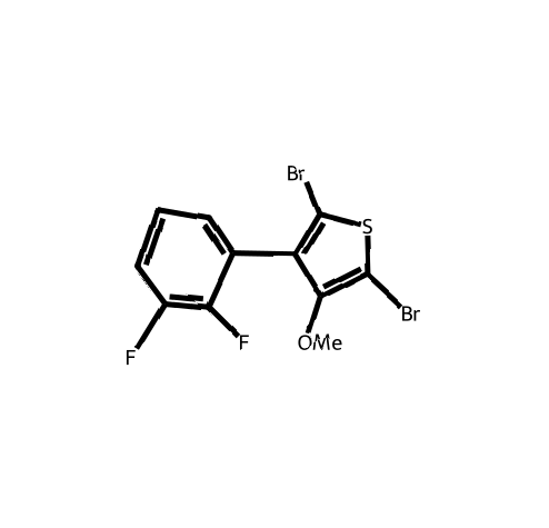 COc1c(Br)sc(Br)c1-c1cccc(F)c1F